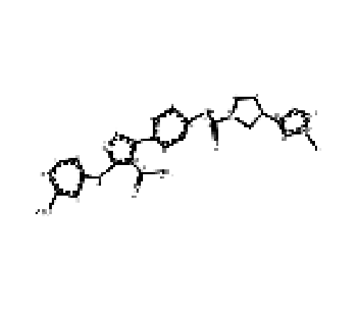 COc1cc(Nc2[nH]nc(-c3ccc(NC(=O)N4CCC(c5cnn(C)c5)C4)cc3)c2C(N)=O)ccn1